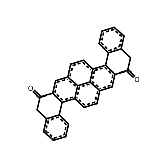 O=C1Cc2ccccc2-c2c1cc1ccc3c4c(cc5ccc2c1c53)C(=O)Cc1ccccc1-4